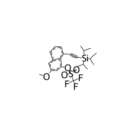 COc1cc(OS(=O)(=O)C(F)(F)F)c2c(C#C[Si](C(C)C)(C(C)C)C(C)C)cccc2c1